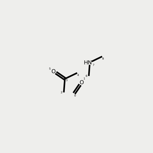 C=O.CC(C)=O.CNC